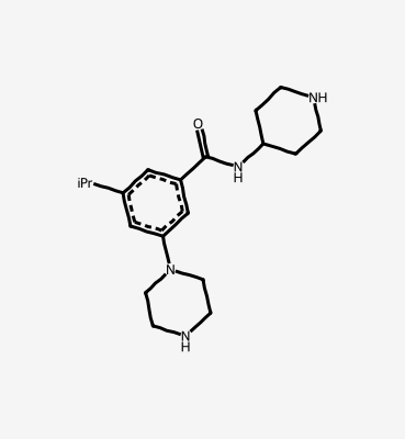 CC(C)c1cc(C(=O)NC2CCNCC2)cc(N2CCNCC2)c1